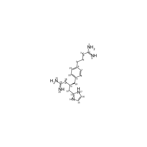 N=C(N)SCCc1ccc(C[C@@H](Cc2ncc[nH]2)SC(=N)N)cc1